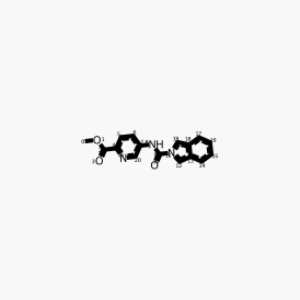 COC(=O)c1ccc(NC(=O)n2cc3ccccc3c2)cn1